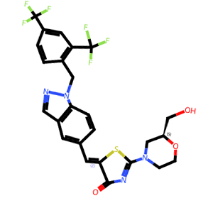 O=C1N=C(N2CCO[C@H](CO)C2)S/C1=C\c1ccc2c(cnn2Cc2ccc(C(F)(F)F)cc2C(F)(F)F)c1